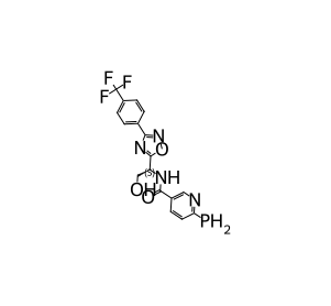 O=C(N[C@@H](CO)c1nc(-c2ccc(C(F)(F)F)cc2)no1)c1ccc(P)nc1